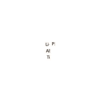 [Al].[Li].[P].[Ti]